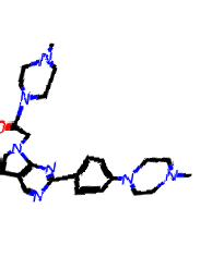 CN1CCN(C(=O)CN2CCc3cnc(-c4ccc(N5CCN(C)CC5)cc4)nc32)CC1